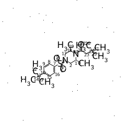 CC1CN(S(=O)(=O)c2ccc(C(C)(C)C)cc2)CC(C)N1C(=O)CC(C)(C)C